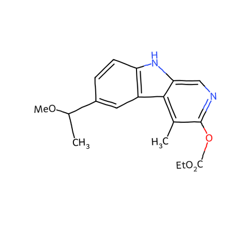 CCOC(=O)Oc1ncc2[nH]c3ccc(C(C)OC)cc3c2c1C